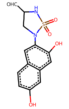 O=CC1CN(c2cc3ccc(O)cc3cc2O)S(=O)(=O)N1